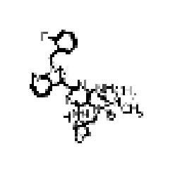 CN(C)S(=O)(=O)N(CC1(C)COC1)c1c(N)nc(-c2nn(Cc3ccccc3F)c3ncccc23)nc1N